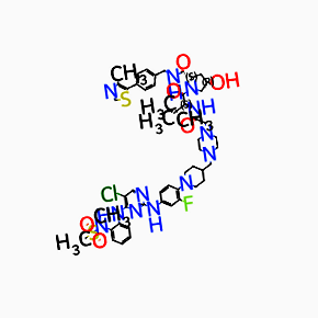 Cc1ncsc1-c1ccc(CNC(=O)[C@@H]2C[C@@H](O)CN2C(=O)[C@@H](NC(=O)CN2CCN(CC3CCN(c4ccc(Nc5ncc(Cl)c(Nc6ccccc6N(C)S(C)(=O)=O)n5)cc4F)CC3)CC2)C(C)(C)C)cc1